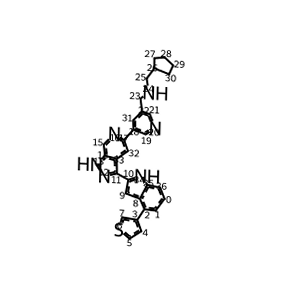 c1cc(-c2ccsc2)c2cc(-c3n[nH]c4cnc(-c5cncc(CNCC6CCCC6)c5)cc34)[nH]c2c1